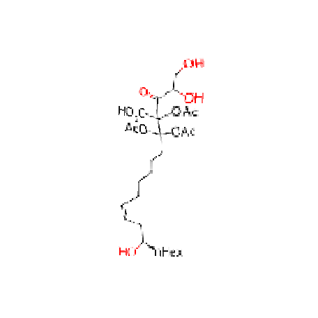 CCCCCC[C@@H](O)C/C=C\CCCCCC(OC(C)=O)(OC(C)=O)C(OC(C)=O)(C(=O)O)C(=O)C(O)CO